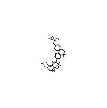 CC1(C)Oc2ncnc(N)c2N=C1c1ccc2c(c1)C(C)(C)CCC21CCC(CC(=O)O)CC1